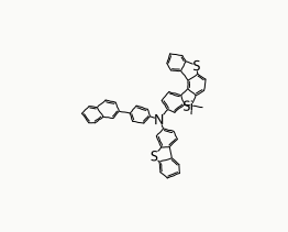 C[Si]1(C)c2cc(N(c3ccc(-c4ccc5ccccc5c4)cc3)c3ccc4c(c3)sc3ccccc34)ccc2-c2c1ccc1sc3ccccc3c21